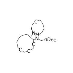 CCCCCCCCCCCNC1CCCCCCCCCCC1N1CCCCCCCC1